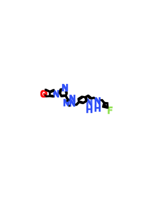 FC12CC(CNCc3cc4ccc(Cn5cnc(-c6cncc(-n7cc8c(c7)COC8)c6)n5)cc4[nH]3)(C1)C2